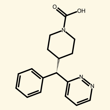 O=C(O)N1CCC([C@@H](c2ccccc2)c2cccnn2)CC1